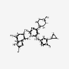 Cc1cc2c(F)c(Oc3nc(Nc4cc(C5CC5)n(C)n4)cc(N4CCN(C)CC4)n3)cc(F)c2[nH]1